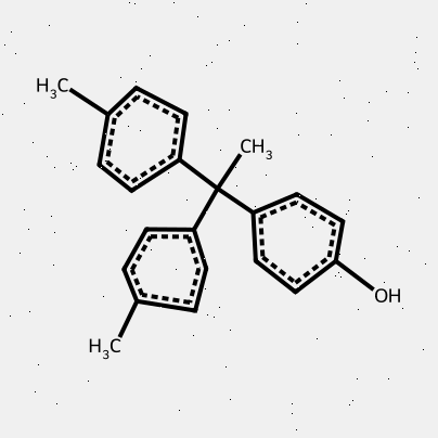 Cc1ccc(C(C)(c2ccc(C)cc2)c2ccc(O)cc2)cc1